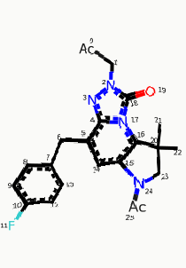 CC(=O)Cn1nc2c(Cc3ccc(F)cc3)cc3c(n2c1=O)C(C)(C)CN3C(C)=O